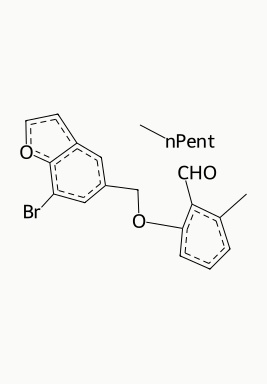 CCCCCC.Cc1cccc(OCc2cc(Br)c3occc3c2)c1C=O